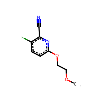 COCCOc1ccc(F)c(C#N)n1